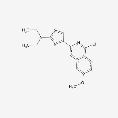 CCN(CC)c1nc(-c2cc3cc(OC)ccc3c(Cl)n2)cs1